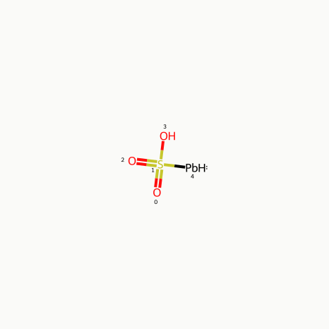 O=[S](=O)(O)[PbH]